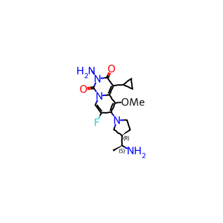 COc1c(N2CC[C@@H]([C@H](C)N)C2)c(F)cn2c(=O)n(N)c(=O)c(C3CC3)c12